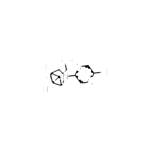 OC[C@@]12C3[C@H]1[C@H]2CN3c1cnc(Cl)cn1